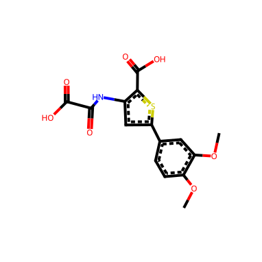 COc1ccc(-c2cc(NC(=O)C(=O)O)c(C(=O)O)s2)cc1OC